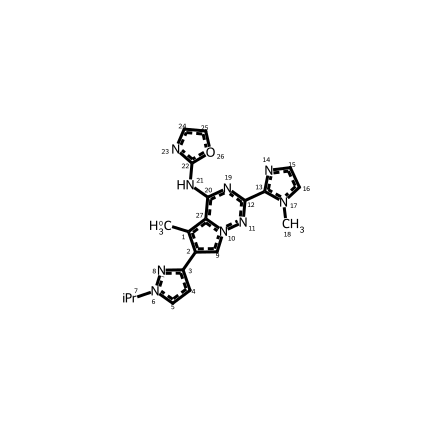 Cc1c(-c2ccn(C(C)C)n2)cn2nc(-c3nccn3C)nc(Nc3ncco3)c12